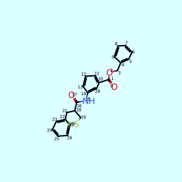 O=C(OCc1ccccc1)c1cccc(NC(=O)C(CS)Cc2ccccc2)c1